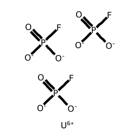 O=P([O-])([O-])F.O=P([O-])([O-])F.O=P([O-])([O-])F.[U+6]